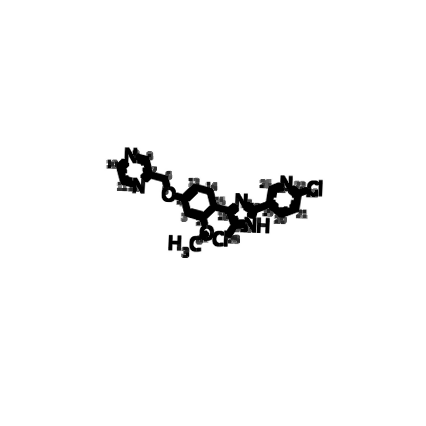 COC1=CC(OCc2cnccn2)=CCC1c1nc(-c2ccc(Cl)nc2)[nH]c1Cl